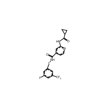 O=C(NCc1cc(F)cc(C(F)(F)F)c1)c1ccnc(NC(=O)C2CC2)c1